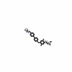 CCN(C)C=Nc1cc(C)c(Cc2ccc(-c3ccc(/C=N/OC)cc3)cc2)cc1C